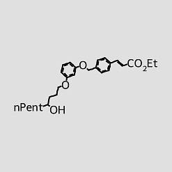 CCCCCC(O)CCCOc1cccc(OCc2ccc(/C=C/C(=O)OCC)cc2)c1